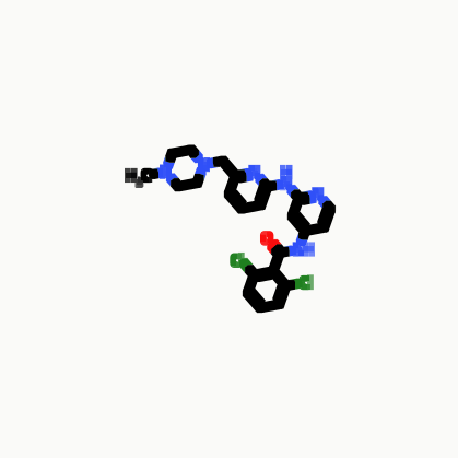 CN1CCN(Cc2cccc(Nc3cc(NC(=O)c4c(Cl)cccc4Cl)ccn3)n2)CC1